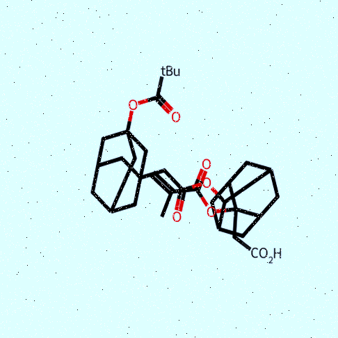 C=C(C)C(=O)OC1(CC(=O)O)C2CC3CC1CC(C2)C3OC(=O)CC12CC3CC(C1)CC(OC(=O)C(C)(C)C)(C3)C2